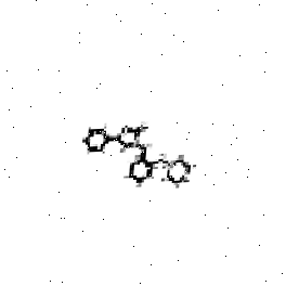 O=C1OC(c2ccccc2)CN1Cc1ccccc1CN1CCOCC1